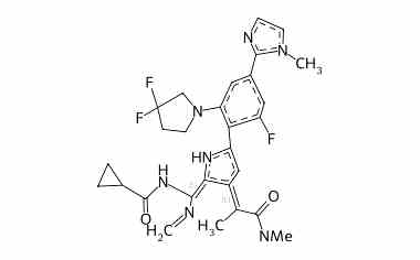 C=N/C(NC(=O)C1CC1)=c1/[nH]c(-c2c(F)cc(-c3nccn3C)cc2N2CCC(F)(F)C2)c/c1=C(/C)C(=O)NC